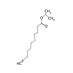 C#CCCCCCCCCC(=O)OC(C)C